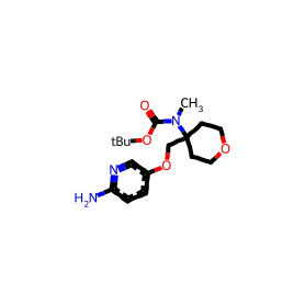 CN(C(=O)OC(C)(C)C)C1(COc2ccc(N)nc2)CCOCC1